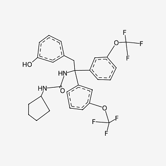 O=C(NC1CCCC1)NC(Cc1cccc(O)c1)(c1cccc(OC(F)(F)F)c1)c1cccc(OC(F)(F)F)c1